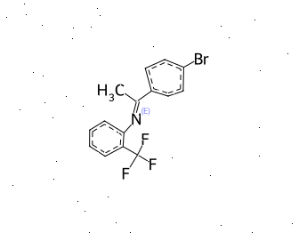 C/C(=N\c1ccccc1C(F)(F)F)c1ccc(Br)cc1